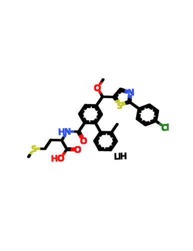 COC(c1ccc(C(=O)NC(CCSC)C(=O)O)c(-c2ccccc2C)c1)c1cnc(-c2ccc(Cl)cc2)s1.[LiH]